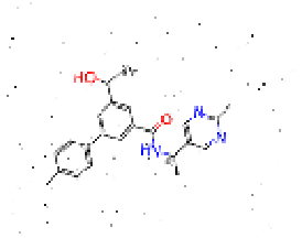 Cc1ccc(-c2cc(C(=O)N[C@H](C)c3cnc(C)nc3)cc(C(O)C(C)C)c2)cc1